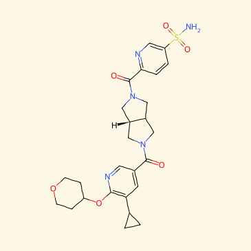 NS(=O)(=O)c1ccc(C(=O)N2CC3CN(C(=O)c4cnc(OC5CCOCC5)c(C5CC5)c4)C[C@@H]3C2)nc1